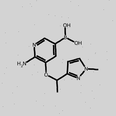 CC(Oc1cc(B(O)O)cnc1N)c1ccn(C)n1